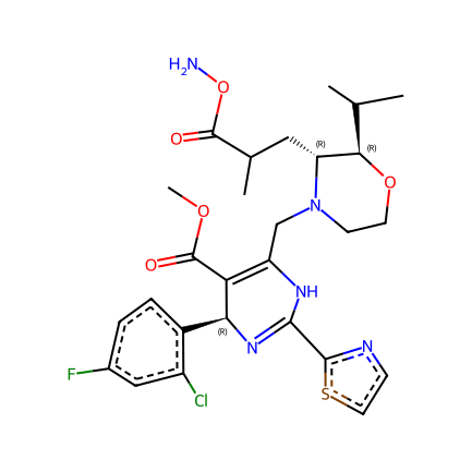 COC(=O)C1=C(CN2CCO[C@H](C(C)C)[C@H]2CC(C)C(=O)ON)NC(c2nccs2)=N[C@H]1c1ccc(F)cc1Cl